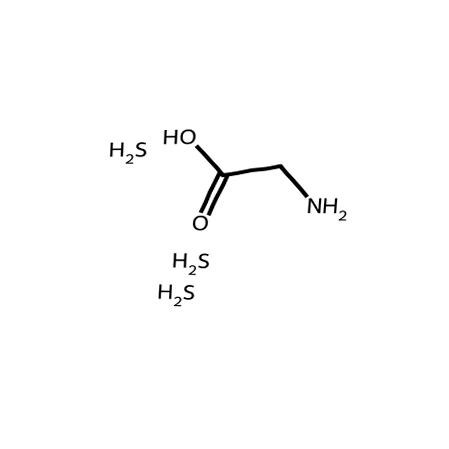 NCC(=O)O.S.S.S